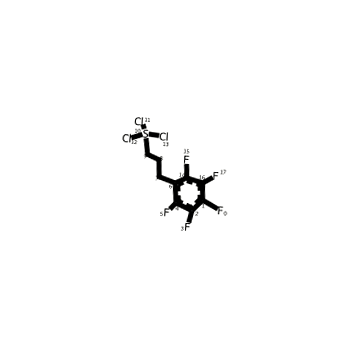 Fc1c(F)c(F)c(CCCS(Cl)(Cl)Cl)c(F)c1F